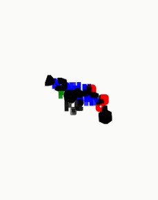 O=C(NCc1nc(-c2cc3c(N[C@@H]4CCN(C5CC5)C[C@@H]4F)cccc3n2CC(F)(F)F)no1)OCc1ccccc1